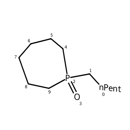 CCCCCCP1(=O)CCCCCC1